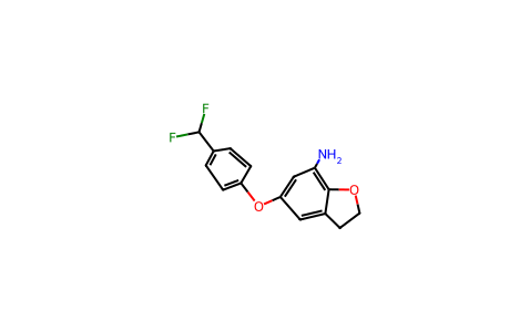 Nc1cc(Oc2ccc(C(F)F)cc2)cc2c1OCC2